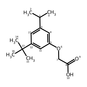 CC(C)c1cc(OCC(=O)O)cc(C(C)(C)C)c1